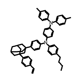 C=Cc1ccc(C23CC4CC(C2)CC(c2ccc(N(c5ccc(CCCC)cc5)c5ccc(N(c6ccc(C)cc6)c6ccc(C)cc6)cc5)cc2)(C4)C3)cc1